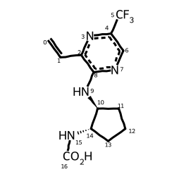 C=Cc1nc(C(F)(F)F)cnc1N[C@H]1CCC[C@@H]1NC(=O)O